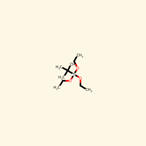 CC[O][Ti]([O]CC)([O]CC)[C](C)(C)C